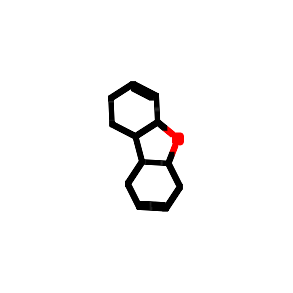 C1=CC2OC3CC=CCC3C2CC1